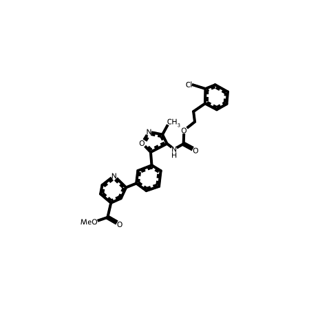 COC(=O)c1ccnc(-c2cccc(-c3onc(C)c3NC(=O)OCCc3ccccc3Cl)c2)c1